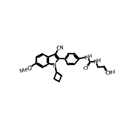 COc1ccc2c(C#N)c(-c3ccc(NC(=O)NCCO)cc3)n(C3CCC3)c2c1